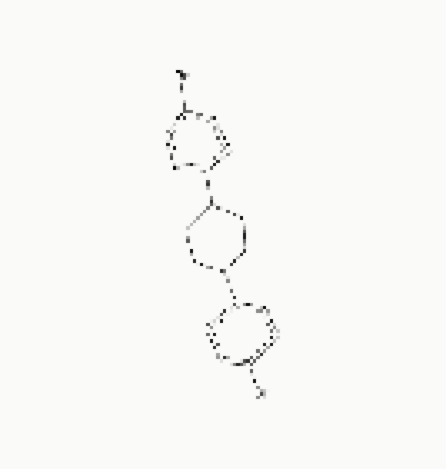 Brc1ccc(C2CCC(c3ccc(Br)cc3)CC2)cc1